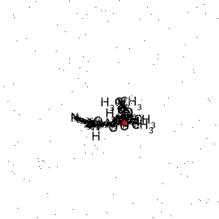 CN(C)c1ccc2c(-c3ccc(C(=O)NCCCC(=O)Nc4ccc(C#CC#N)cc4)cc3C(=O)[O-])c3ccc(=[N+](C)C)cc-3oc2c1